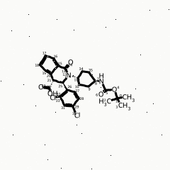 CC(C)(C)OC(=O)N[C@H]1CC[C@H](N2C(=O)c3ccccc3[C@@H](C(=O)O)[C@@H]2c2ccc(Cl)cc2Cl)CC1